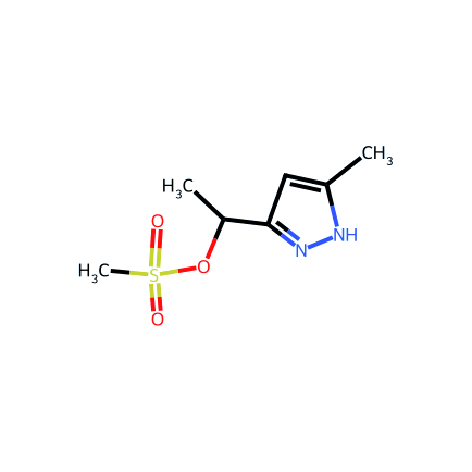 Cc1cc(C(C)OS(C)(=O)=O)n[nH]1